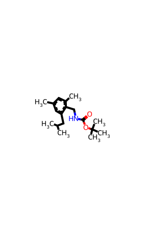 Cc1cc(C)c(CNC(=O)OC(C)(C)C)c(CC(C)C)c1